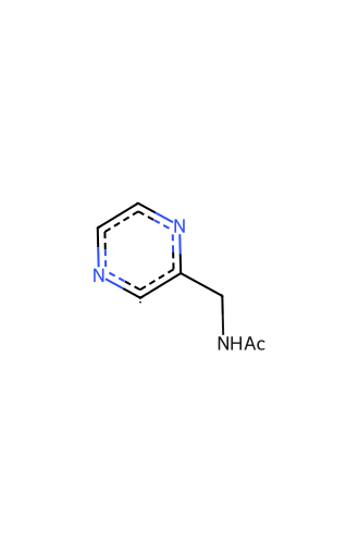 CC(=O)NCc1[c]nccn1